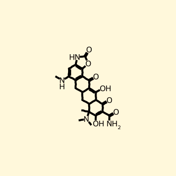 CNc1cc2[nH]c(=O)oc2c2c1CC1CC3C(C(=O)C(C(N)=O)=C(O)C3(C)N(C)C)C(O)=C1C2=O